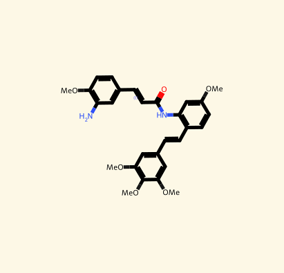 COc1ccc(C=Cc2cc(OC)c(OC)c(OC)c2)c(NC(=O)/C=C/c2ccc(OC)c(N)c2)c1